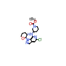 CC(C)(C)OC(=O)N1CCC[C@@H](Nc2nc(Cl)cc3cnn(C4CCCCO4)c23)C1